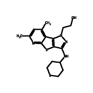 Cc1cc(C)c2c(n1)sc1c(NC3CCSCC3)nn(CCO)c12